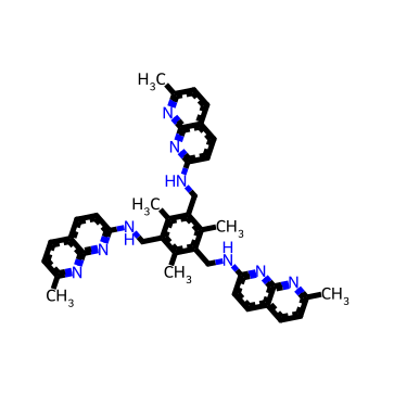 Cc1ccc2ccc(NCc3c(C)c(CNc4ccc5ccc(C)nc5n4)c(C)c(CNc4ccc5ccc(C)nc5n4)c3C)nc2n1